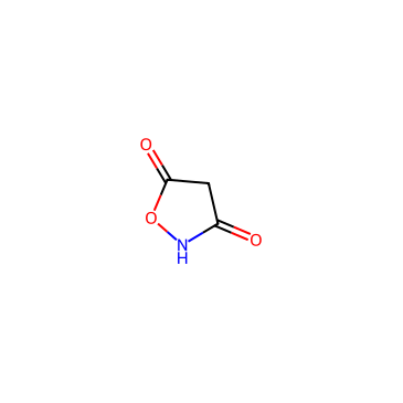 O=C1CC(=O)ON1